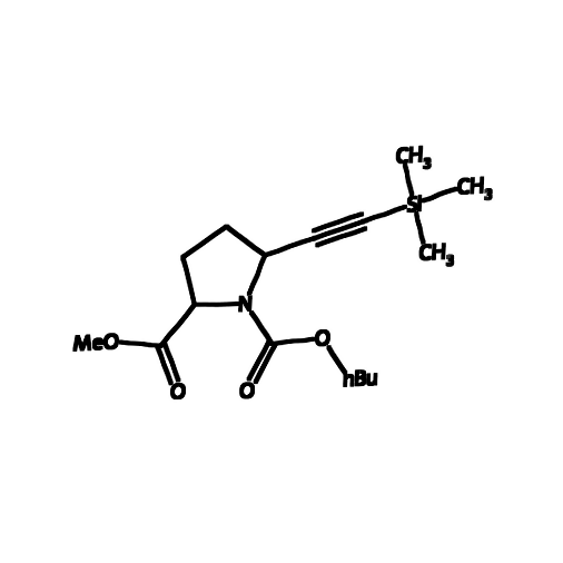 CCCCOC(=O)N1C(C#C[Si](C)(C)C)CCC1C(=O)OC